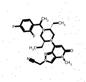 CC[C@H]1CN(C(C)c2ccc(F)cc2F)[C@H](CC)CN1c1cc(=O)n(C)c2cn(CC#N)nc12